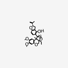 C=C(C)[C@H]1Cc2c(ccc(C3=NOC4(CC)COc5cc(OC)c(OC)cc5C34C)c2O)O1